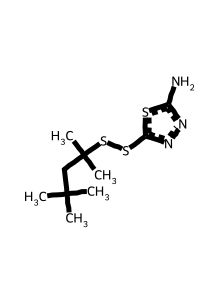 CC(C)(C)CC(C)(C)SSc1nnc(N)s1